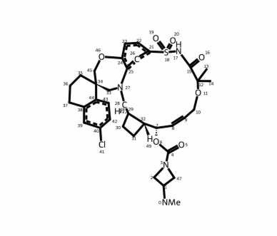 CNC1CN(C(=O)O[C@H]2C=CCOC(C)(C)C(=O)NS(=O)(=O)c3ccc4c(c3)N(C[C@@H]3CC[C@H]32)C[C@@]2(CCCc3cc(Cl)ccc32)CO4)C1